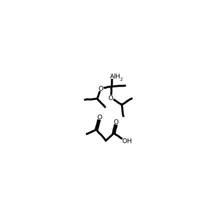 CC(=O)CC(=O)O.CC(C)O[C](C)([AlH2])OC(C)C